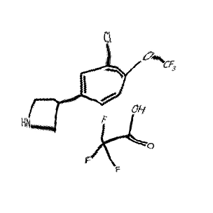 FC(F)(F)Oc1ccc(C2CNC2)cc1Cl.O=C(O)C(F)(F)F